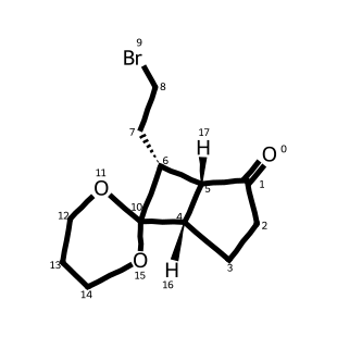 O=C1CC[C@H]2[C@@H]1[C@@H](CCBr)C21OCCCO1